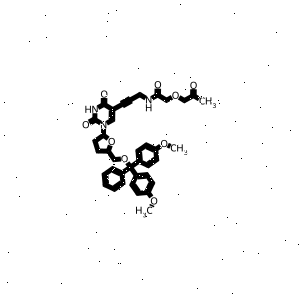 COc1ccc(C(OCC2CCC(n3cc(C#CCNC(=O)COCC(C)=O)c(=O)[nH]c3=O)O2)(c2ccccc2)c2ccc(OC)cc2)cc1